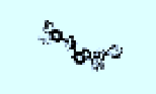 CC(C)Oc1ccc(-c2ncc(-c3cccc4c3CCC4NS(=O)(=O)CC(=O)N3CCOCC3)s2)cc1C#N